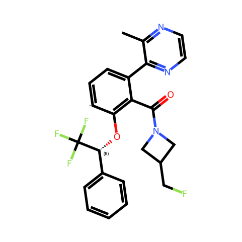 Cc1nccnc1-c1cc[c]c(O[C@H](c2ccccc2)C(F)(F)F)c1C(=O)N1CC(CF)C1